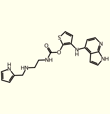 O=C(NCCNCc1ccc[nH]1)Oc1sccc1Nc1ccnc2[nH]ccc12